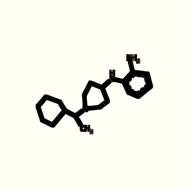 CC(C1CCCCC1)N1CCC(Nc2ccccc2N)CC1